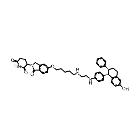 O=C1CCC(N2Cc3cc(OCCCCCNCCNc4ccc([C@@H]5c6ccc(O)cc6CC[C@@H]5c5ccccc5)cc4)ccc3C2=O)C(=O)N1